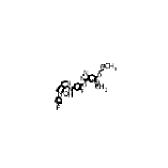 COCCOc1cc2ncnc(Oc3ccc(Nc4nccc5ccn(-c6ccc(F)cc6)c(=O)c45)cc3F)c2cc1OC